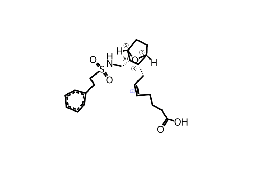 O=C(O)CCC/C=C\C[C@@H]1[C@H](CNS(=O)(=O)CCc2ccccc2)[C@@H]2CC[C@H]1O2